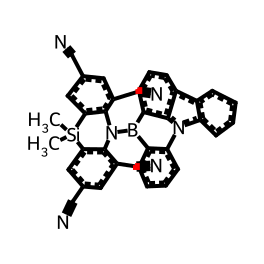 C[Si]1(C)c2cc(C#N)cc(C#N)c2N(B2c3ccccc3-n3c4ccccc4c4cccc2c43)c2c(C#N)cc(C#N)cc21